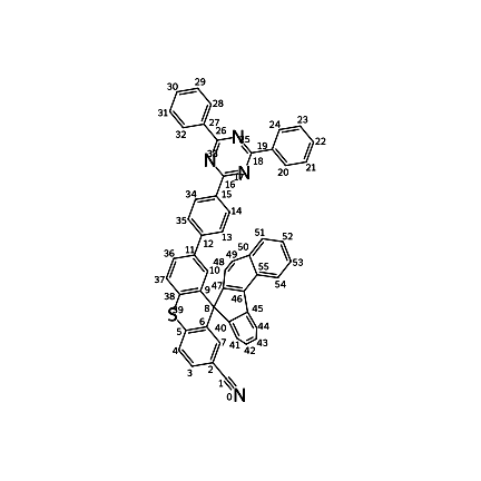 N#Cc1ccc2c(c1)C1(c3cc(-c4ccc(-c5nc(-c6ccccc6)nc(-c6ccccc6)n5)cc4)ccc3S2)c2ccccc2-c2c1ccc1ccccc21